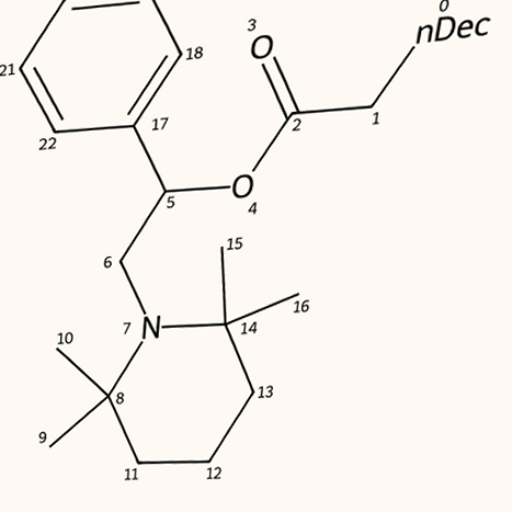 CCCCCCCCCCCC(=O)OC(CN1C(C)(C)CCCC1(C)C)c1ccccc1